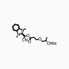 COC(C)COCCC(=O)OC(C#N)=C1N(C)c2ccccc2N1C